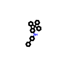 c1ccc(-c2ccc(Nc3ccc4c(c3)C(c3ccccc3)(c3ccccc3)c3ccccc3-4)cc2)cc1